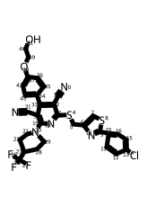 N#Cc1c(SCc2csc(-c3ccc(Cl)cc3)n2)nc(N2CCC(C(F)(F)F)CC2)c(C#N)c1-c1ccc(OCCO)cc1